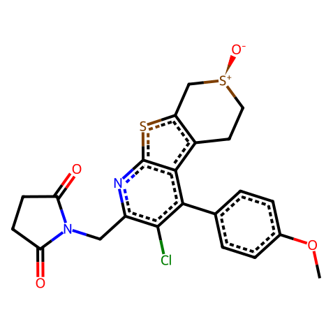 COc1ccc(-c2c(Cl)c(CN3C(=O)CCC3=O)nc3sc4c(c23)CC[S@+]([O-])C4)cc1